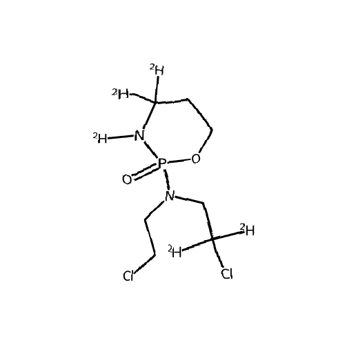 [2H]N1C([2H])([2H])CCOP1(=O)N(CCCl)CC([2H])([2H])Cl